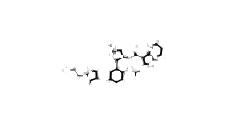 Cc1c(Oc2ccc(OC(F)F)c(-c3nn(C)cc3NC(=O)c3cnn4cccnc34)c2)cnn1CCO